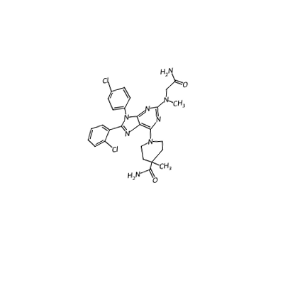 CN(CC(N)=O)c1nc(N2CCC(C)(C(N)=O)CC2)c2nc(-c3ccccc3Cl)n(-c3ccc(Cl)cc3)c2n1